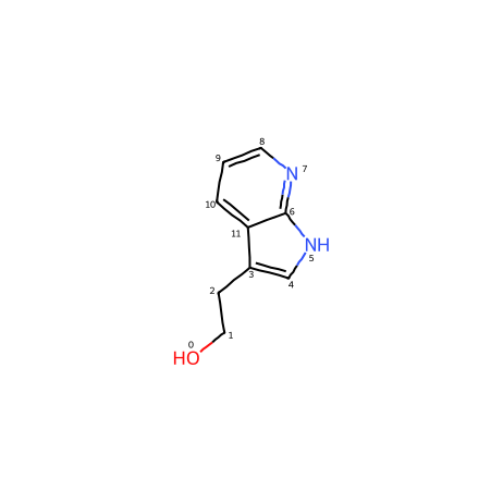 OCCc1c[nH]c2ncccc12